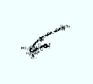 CC(C)(C)OC(=O)NCCOCCOCCOCCOCc1cn(CCCCCCO[C@]2(C(=O)O)C[C@H](O)[C@@H](NC(=O)CO)[C@H]([C@H](O)[C@H](O)CNC(=O)Cc3ccc(C(F)F)cc3)O2)nn1